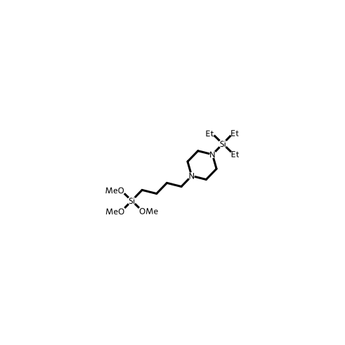 CC[Si](CC)(CC)N1CCN(CCCC[Si](OC)(OC)OC)CC1